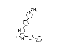 CN1CCN(c2ccc(-c3cnc4[nH]nc(-c5ccc(-c6ccccc6)cc5)c4c3)cc2)CC1